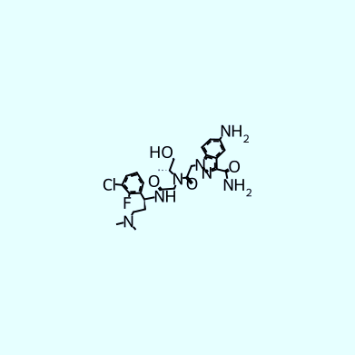 C[C@H](CO)N(CC(=O)N[C@@H](CCN(C)C)c1cccc(Cl)c1F)C(=O)Cn1nc(C(N)=O)c2cc(N)ccc21